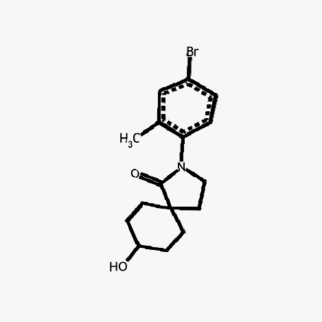 Cc1cc(Br)ccc1N1CCC2(CCC(O)CC2)C1=O